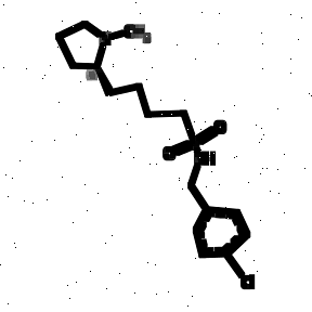 CN1CCC[C@@H]1CCCCS(=O)(=O)NCc1ccc(Cl)cc1